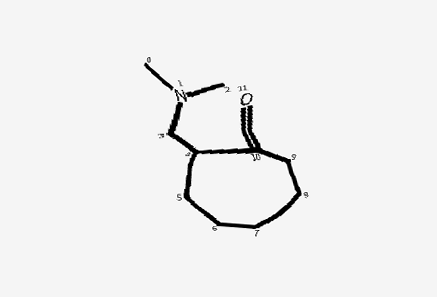 CN(C)CC1CCCCCC1=O